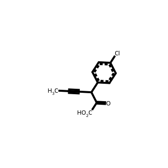 CC#CC(C(=O)C(=O)O)c1ccc(Cl)cc1